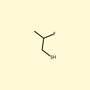 CC(F)CS